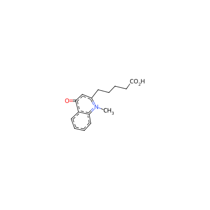 Cn1c(CCCCC(=O)O)cc(=O)c2ccccc21